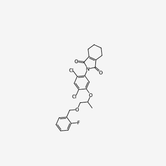 CC(COCc1ccccc1F)Oc1cc(N2C(=O)C3=C(CCCC3)C2=O)c(Cl)cc1Cl